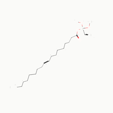 C=C[Si](OC)(OC)OC(=O)CCCCCCCC=CCCCCCCCC